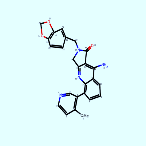 COc1ccncc1-c1cccc2c(N)c3c(nc12)CN(Cc1ccc2c(c1)OCO2)C3=O